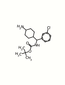 CC(C)(C)OC(=O)NC(c1cccc(Cl)c1)C1CCC(N)CC1